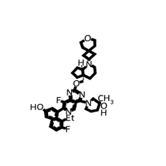 CCc1c(F)ccc2cc(O)cc(-c3ncc4c(N5CCC[C@@](C)(O)C5)nc(OC[C@]56CCC[C@H]5N(C5CC7(CCOCC7)C5)CCC6)nc4c3F)c12